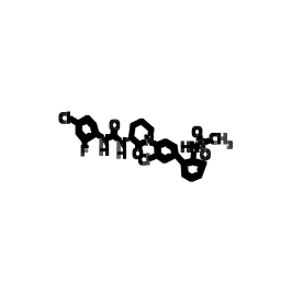 CS(=O)(=O)Nc1ccccc1-c1ccc(N2CCC[C@@H](NC(=O)Nc3ccc(Cl)cc3F)C2=O)c(Cl)c1